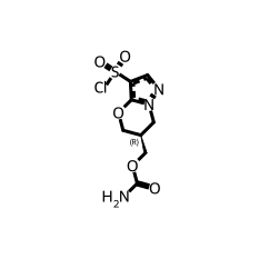 NC(=O)OC[C@H]1COc2c(S(=O)(=O)Cl)cnn2C1